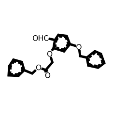 O=Cc1ccc(OCc2ccccc2)cc1OCC(=O)OCc1ccccc1